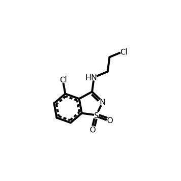 O=S1(=O)N=C(NCCCl)c2c(Cl)cccc21